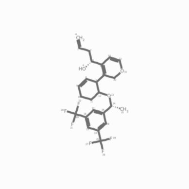 C=CC[C@@H](O)C1=C(C2C=CCCC2O[C@H](C)c2cc(C(F)(F)F)cc(C(F)(F)F)c2)COC=C1